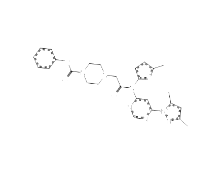 Cc1cc(C)n(-c2cc(N(C(=O)CN3CCN(C(=O)Oc4ccccc4)CC3)c3ccc(C)o3)ncn2)n1